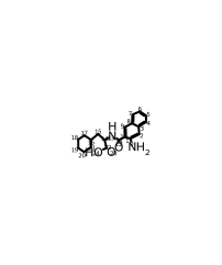 Nc1cc2ccccc2cc1C(=O)NC(CC1CCCCC1)C(=O)O